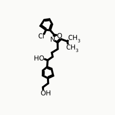 CC(C)c1oc(-c2ccccc2Cl)nc1CCCC(O)c1ccc(CCO)cc1